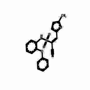 Cc1ccc(/C=C(/C#N)S(=O)(=O)Nc2ccccc2Oc2ccccc2)s1